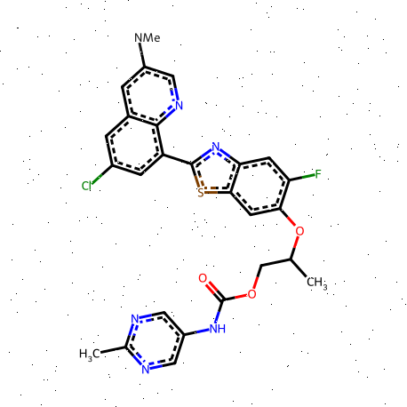 CNc1cnc2c(-c3nc4cc(F)c(OC(C)COC(=O)Nc5cnc(C)nc5)cc4s3)cc(Cl)cc2c1